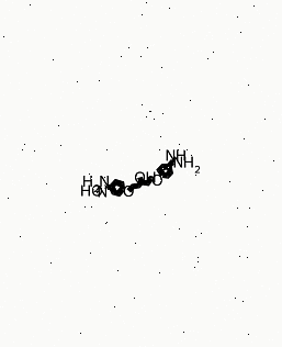 N=C(N)c1ccc(OCCC(O)CCOc2ccc(/C(N)=N/O)cc2)cc1